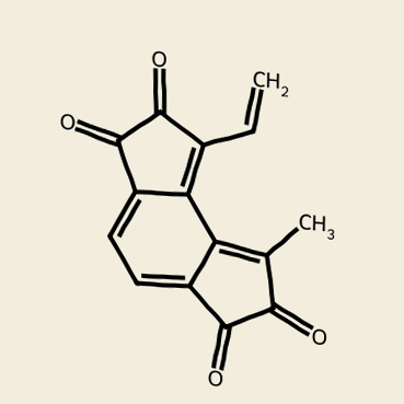 C=CC1=c2c(ccc3c2=C(C)C(=O)C3=O)C(=O)C1=O